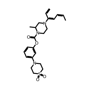 C=C/C(=C\C=C/C)N1CCN(C(=O)Oc2cccc(N3CCS(=O)(=O)CC3)c2)C(C)C1